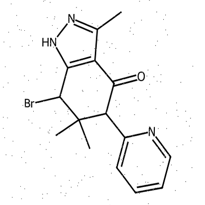 Cc1n[nH]c2c1C(=O)C(c1ccccn1)C(C)(C)C2Br